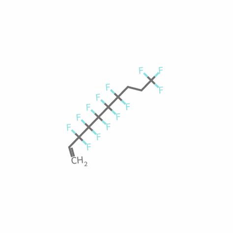 C=CC(F)(F)C(F)(F)C(F)(F)C(F)(F)C(F)(F)CCC(F)(F)F